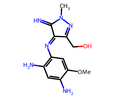 COc1cc(N=C2C(=N)N(C)N=C2CO)c(N)cc1N